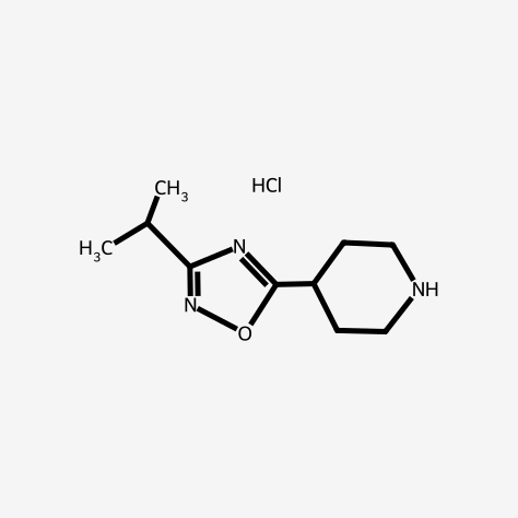 CC(C)c1noc(C2CCNCC2)n1.Cl